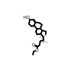 CCOC(=O)CC[C@@H](C)[C@H]1CCC2C3CCC4=CC(O)CC[C@]4(C)C3CC[C@@]21C